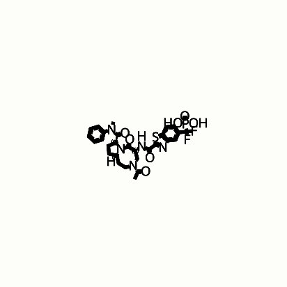 CC(=O)N1CC[C@H]2CC[C@@H](C(=O)N(C)c3ccccc3)N2C(=O)[C@@H](NC(=O)c2nc3cc(C(F)(F)P(=O)(O)O)ccc3s2)C1